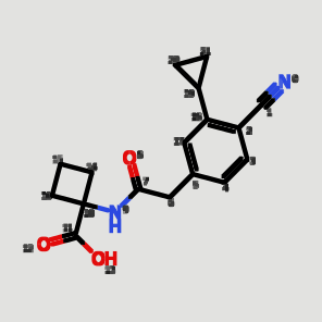 N#Cc1ccc(CC(=O)NC2(C(=O)O)CCC2)cc1C1CC1